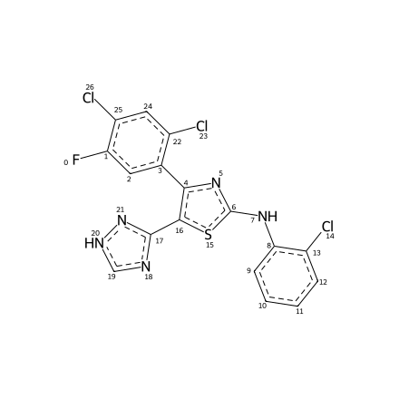 Fc1cc(-c2nc(Nc3ccccc3Cl)sc2-c2nc[nH]n2)c(Cl)cc1Cl